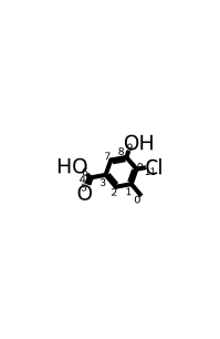 Cc1cc(C(=O)O)cc(O)c1Cl